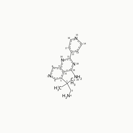 CC(C)(CN)c1cncc2nc(-c3ccncc3)nc(N)c12